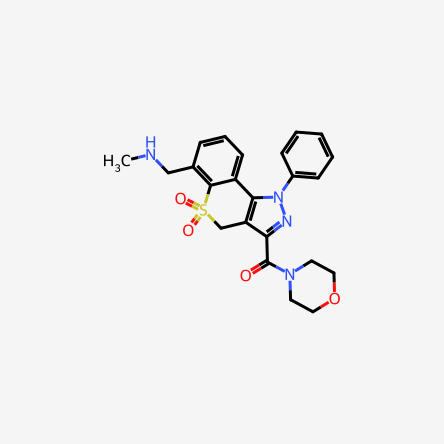 CNCc1cccc2c1S(=O)(=O)Cc1c(C(=O)N3CCOCC3)nn(-c3ccccc3)c1-2